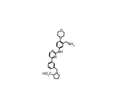 NCc1cc(Nc2nccc(-c3cccc(CN4CCCC4C(=O)O)c3)n2)ccc1N1CCOCC1